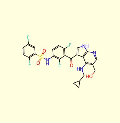 O=C(c1c(F)ccc(NS(=O)(=O)c2cc(F)ccc2F)c1F)c1c[nH]c2ncc(CO)c(NCC3CC3)c12